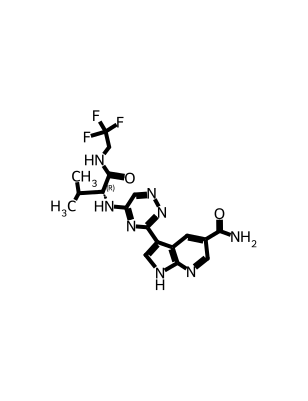 CC(C)[C@@H](Nc1cnnc(-c2c[nH]c3ncc(C(N)=O)cc23)n1)C(=O)NCC(F)(F)F